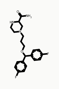 NC(=O)C1CN(CCCOC(c2ccc(F)cc2)c2ccc(F)cc2)CCN1